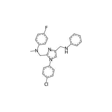 CN(Cc1nc(CNc2ccccc2)cn1-c1ccc(Cl)cc1)c1ccc(F)cc1